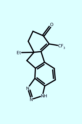 CCC12CCC(=O)C(C(F)(F)F)=C1c1ccc3[nH]nnc3c1C2